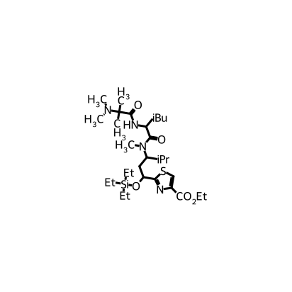 CCOC(=O)c1csc(C(CC(C(C)C)N(C)C(=O)C(NC(=O)C(C)(C)N(C)C)C(C)CC)O[Si](CC)(CC)CC)n1